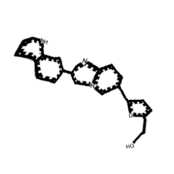 OCc1ccc(-c2ccc3nc(-c4ccc5cc[nH]c5c4)cn3c2)o1